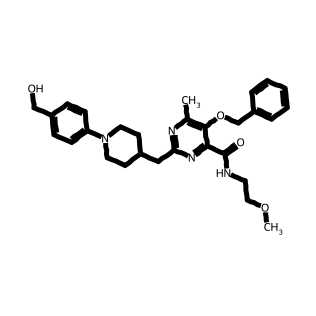 COCCNC(=O)c1nc(CC2CCN(c3ccc(CO)cc3)CC2)nc(C)c1OCc1ccccc1